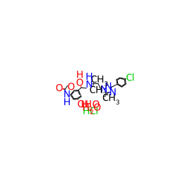 Cc1nc(-c2ccc(Cl)cc2)nn1CCC(C)(C)NC[C@H](O)c1cc(O)cc2c1OCC(=O)N2.Cl.O.O